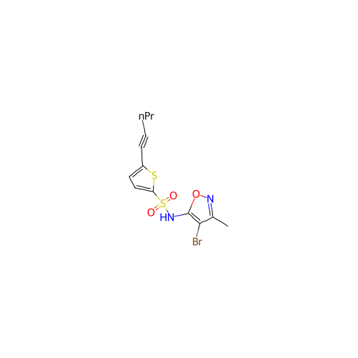 CCCC#Cc1ccc(S(=O)(=O)Nc2onc(C)c2Br)s1